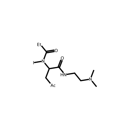 CCC(=O)N(I)C(CC(C)=O)C(=O)NCCN(C)C